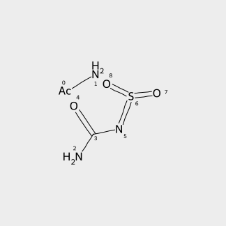 CC(N)=O.NC(=O)N=S(=O)=O